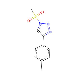 Cc1ccc(-c2cn(S(C)(=O)=O)nn2)cc1